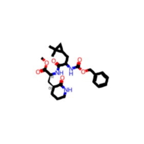 COC(=O)[C@H](C[C@@H]1CCCNC1=O)NC(=O)C(CC1CC1(C)C)NC(=O)OCc1ccccc1